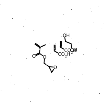 C=C(C)C(=O)OCC1CO1.C=CC(=O)O.C=CC(=O)O.OCCO